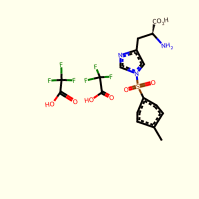 Cc1ccc(S(=O)(=O)n2cnc(C[C@H](N)C(=O)O)c2)cc1.O=C(O)C(F)(F)F.O=C(O)C(F)(F)F